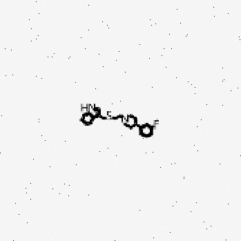 Fc1cccc(C2=CCN(CCSCc3c[nH]c4ccccc34)CC2)c1